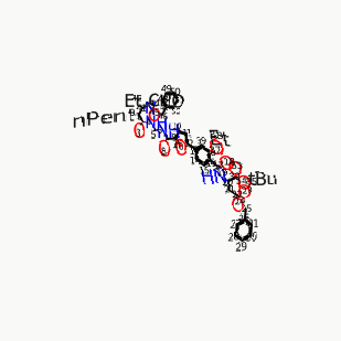 CCCCC[C@@H](C(=O)NCNC(=O)c1ccc(-c2ccc(C(=O)NC(CC(=O)OCc3ccccc3)C(=O)OC(C)(C)C)c(OCC)c2)o1)[C@@H](CC)N(C=O)OCc1ccccc1